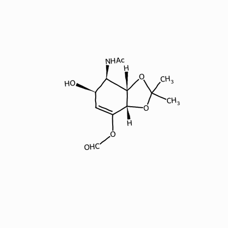 CC(=O)N[C@H]1[C@@H]2OC(C)(C)O[C@@H]2C(OC=O)=C[C@H]1O